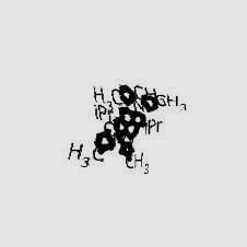 CC1=CC=C(N(C2=C3C=Cc4c(C(C)C)cc(N(C5=CC(C)C=C5)c5cc(C)ccc5C)c5c4C3C(C=C5)C(C(C)C)=C2)c2cc(C)ccc2C)CC1